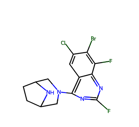 Fc1nc(N2CC3CCC(C2)N3)c2cc(Cl)c(Br)c(F)c2n1